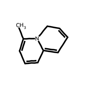 CC1=CC=CC2=CC=CCN12